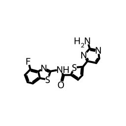 Nc1nccc(-c2ccc(C(=O)Nc3nc4c(F)cccc4s3)s2)n1